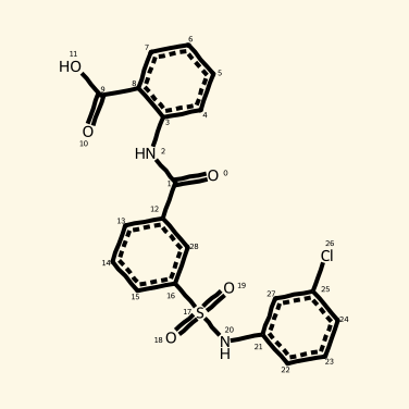 O=C(Nc1ccccc1C(=O)O)c1cccc(S(=O)(=O)Nc2cccc(Cl)c2)c1